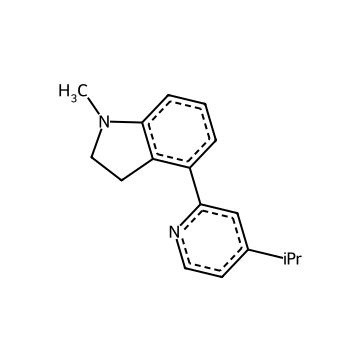 CC(C)c1ccnc(-c2cccc3c2CCN3C)c1